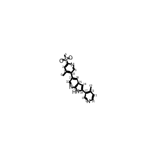 Cc1cc(S(C)(=O)=O)ncc1-c1cnc2[nH]c(-c3cnccc3C)cc2c1